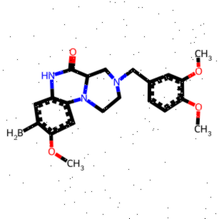 Bc1cc2c(cc1OC)N1CCN(Cc3ccc(OC)c(OC)c3)CC1C(=O)N2